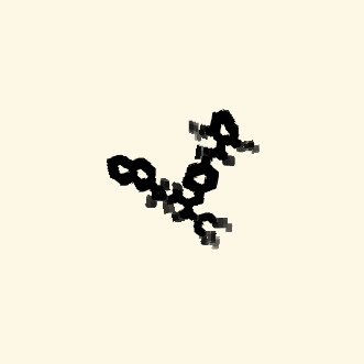 CCN(CC)C(=O)C(Cc1ccc(NC(=O)c2c(C)cccc2C)cc1)C(=O)NS(=O)(=O)c1ccc2ccccc2c1